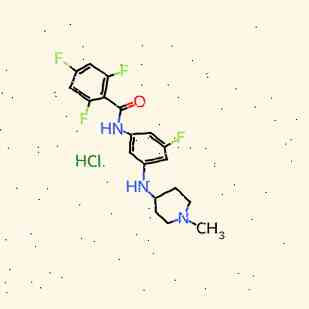 CN1CCC(Nc2cc(F)cc(NC(=O)c3c(F)cc(F)cc3F)c2)CC1.Cl